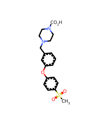 CS(=O)(=O)c1ccc(Oc2cccc(CN3CCN(C(=O)O)CC3)c2)cc1